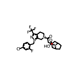 O=C(CC1CC2CCC(C1)N2C(=O)O)N1CCc2c(C(F)(F)F)nn(Cc3ccc(Cl)cc3F)c2C1